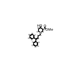 COC(=O)[C@@H]1CN(CCC=C(c2ccccc2)c2ccccc2)CC[C@H]1O